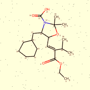 CCOC(=O)/C(=C/C1OC(C)(C)N(C(=O)O)C1CC1CCCCC1)C(C)C